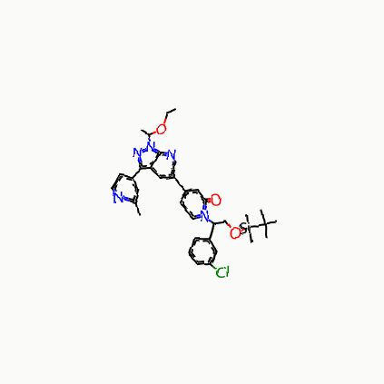 CCOC(C)n1nc(-c2ccnc(C)c2)c2cc(-c3ccn(C(CO[Si](C)(C)C(C)(C)C)c4cccc(Cl)c4)c(=O)c3)cnc21